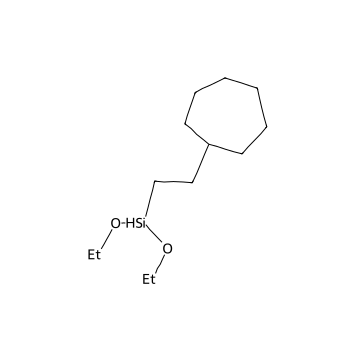 CCO[SiH](CCC1CCCCCC1)OCC